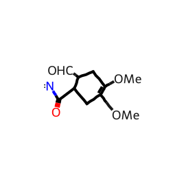 COC1=C(OC)CC(C([N])=O)C(C=O)C1